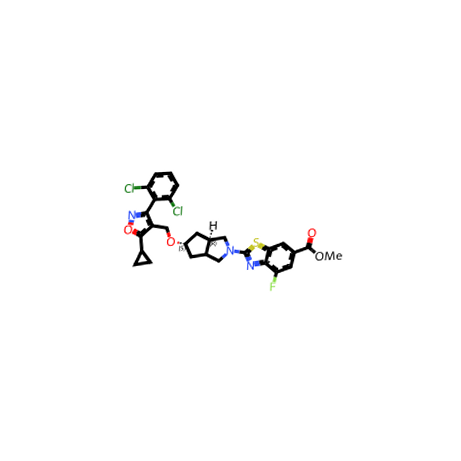 COC(=O)c1cc(F)c2nc(N3CC4C[C@H](OCc5c(-c6c(Cl)cccc6Cl)noc5C5CC5)C[C@H]4C3)sc2c1